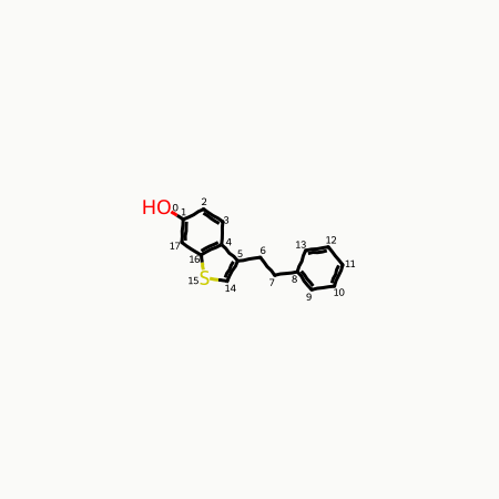 Oc1ccc2c(CCc3ccccc3)csc2c1